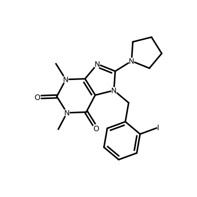 Cn1c(=O)c2c(nc(N3CCCC3)n2Cc2ccccc2I)n(C)c1=O